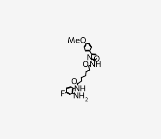 COc1ccc(-c2coc(NC(=O)CCCCCC(=O)Nc3ccc(F)cc3N)n2)cc1